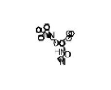 O=C(NCc1cc(COC2CCCCO2)cc(OCCc2cn(C(c3ccccc3)(c3ccccc3)c3ccccc3)cn2)c1)c1cccnc1